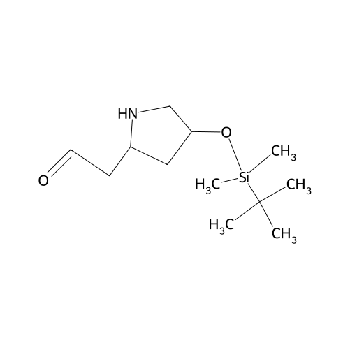 CC(C)(C)[Si](C)(C)OC1CNC(CC=O)C1